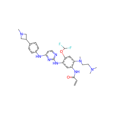 C=CC(=O)Nc1cc(Nc2nccc(Nc3ccc(C4CN(C)C4)cc3)n2)c(OC(F)F)cc1N(C)CCN(C)C